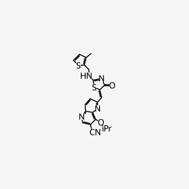 Cc1ccsc1CNC1=NC(=O)/C(=C/c2ccc3ncc(C#N)c(OC(C)C)c3n2)S1